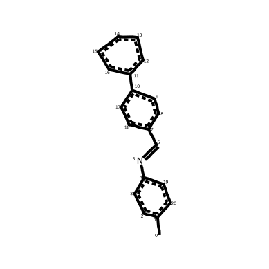 Cc1ccc(N=Cc2ccc(-c3ccccc3)cc2)cc1